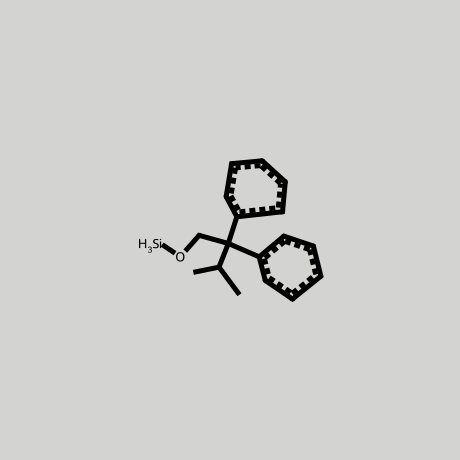 CC(C)C(CO[SiH3])(c1ccccc1)c1ccccc1